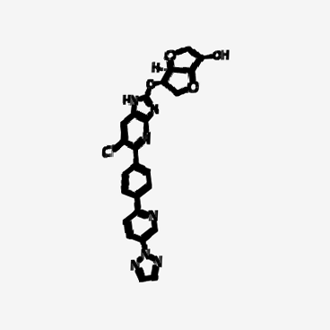 O[C@@H]1CO[C@H]2C1OC[C@H]2Oc1nc2nc(-c3ccc(-c4ccc(-n5nccn5)cn4)cc3)c(Cl)cc2[nH]1